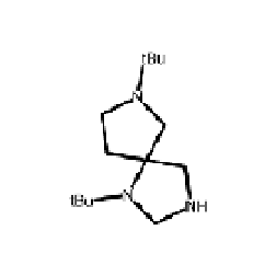 CC(C)(C)N1CCC2(CNCN2C(C)(C)C)C1